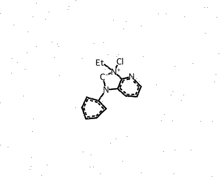 CC[N+]1(Cl)[CH-]N(c2ccccc2)c2cccnc21